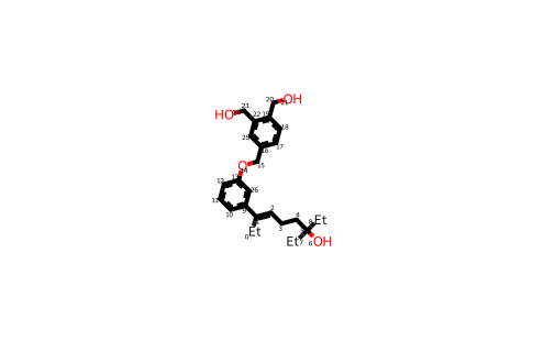 CCC(=CCCC(O)(CC)CC)c1cccc(OCc2ccc(CO)c(CO)c2)c1